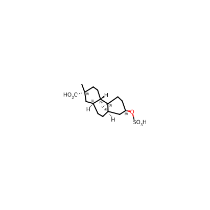 C[C@@]1(C(=O)O)CC[C@H]2[C@@H](CC[C@@H]3C[C@H](OS(=O)(=O)O)CC[C@@]32C)C1